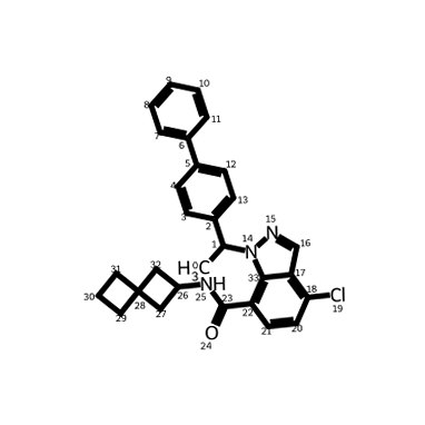 CC(c1ccc(-c2ccccc2)cc1)n1ncc2c(Cl)ccc(C(=O)NC3CC4(CCC4)C3)c21